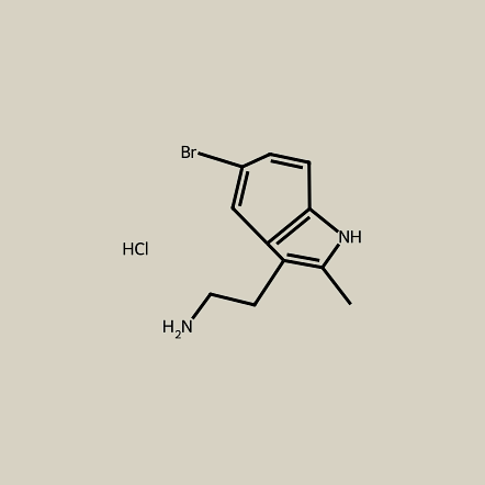 Cc1[nH]c2ccc(Br)cc2c1CCN.Cl